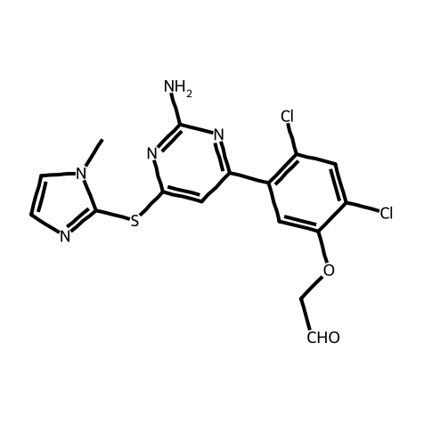 Cn1ccnc1Sc1cc(-c2cc(OCC=O)c(Cl)cc2Cl)nc(N)n1